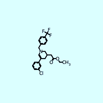 CCOC(=O)CC1CC(c2cccc(Cl)c2)=CN(Cc2ccc(C(F)(F)F)cc2)C1